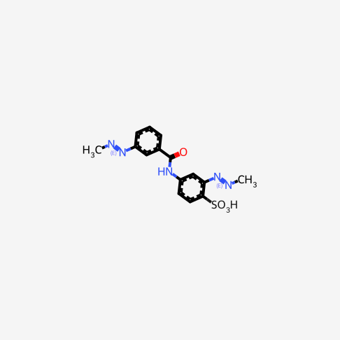 C/N=N/c1cccc(C(=O)Nc2ccc(S(=O)(=O)O)c(/N=N/C)c2)c1